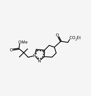 CCOC(=O)CC(=O)C1CCc2nn(CC(C)(C)C(=O)OC)cc2C1